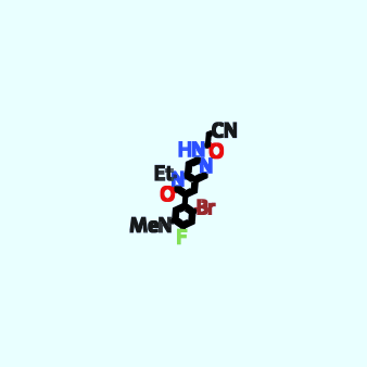 CCn1c(=O)c(-c2cc(NC)c(F)cc2Br)cc2cnc(NC(=O)CC#N)cc21